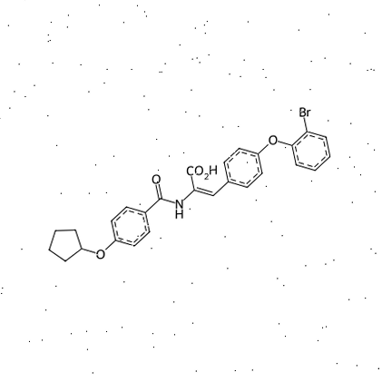 O=C(O)/C(=C\c1ccc(Oc2ccccc2Br)cc1)NC(=O)c1ccc(OC2CCCC2)cc1